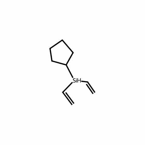 C=C[SiH](C=C)C1CCCC1